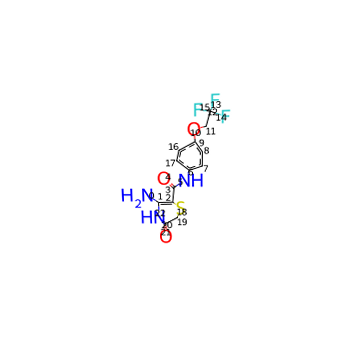 NC1=C(C(=O)Nc2ccc(OCC(F)(F)F)cc2)SCC(=O)N1